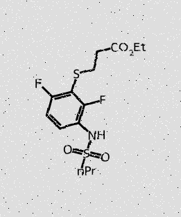 CCCS(=O)(=O)Nc1ccc(F)c(SCCC(=O)OCC)c1F